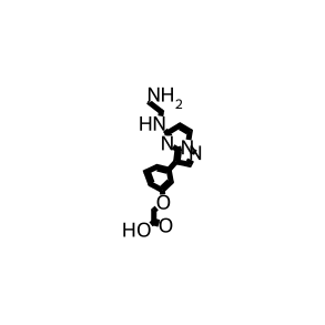 NCCNc1ccn2ncc(-c3cccc(OCC(=O)O)c3)c2n1